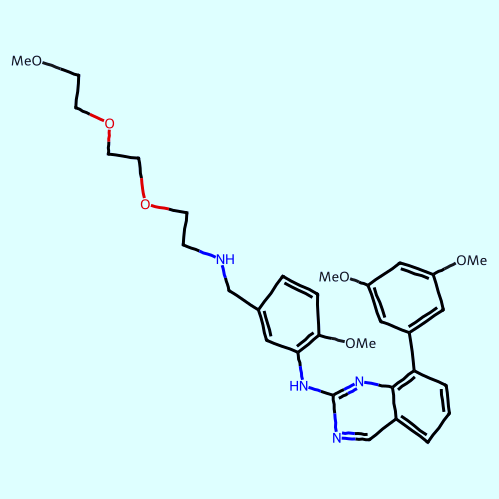 COCCOCCOCCNCc1ccc(OC)c(Nc2ncc3cccc(-c4cc(OC)cc(OC)c4)c3n2)c1